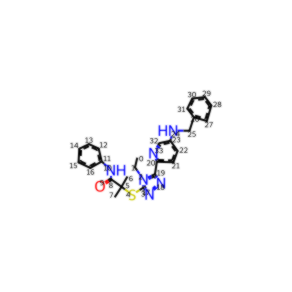 CCn1c(SC(C)(C)C(=O)Nc2ccccc2)nnc1-c1ccc(NCc2ccccc2)cn1